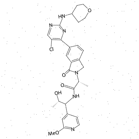 COc1cc(C(NC(=O)[C@@H](C)N2Cc3ccc(-c4nc(NC5CCOCC5)ncc4Cl)cc3C2=O)[C@H](C)O)ccn1